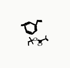 C=C(C)C(=O)OC(C)(C)CC.C=Cc1cccc(C)c1